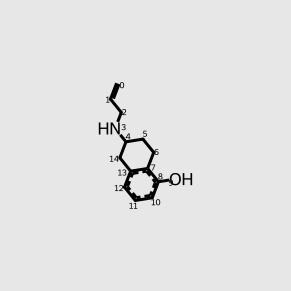 C=CCNC1CCc2c(O)cccc2C1